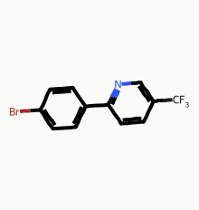 FC(F)(F)c1ccc(-c2ccc(Br)cc2)nc1